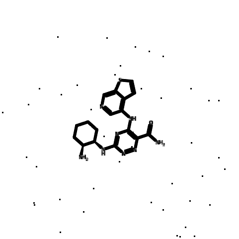 NC(=O)c1nnc(N[C@@H]2CCCC[C@@H]2N)nc1Nc1cncc2sccc12